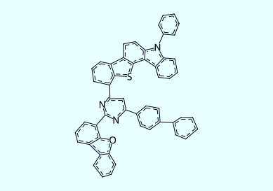 c1ccc(-c2ccc(-c3cc(-c4cccc5c4sc4c5ccc5c4c4ccccc4n5-c4ccccc4)nc(-c4cccc5c4oc4ccccc45)n3)cc2)cc1